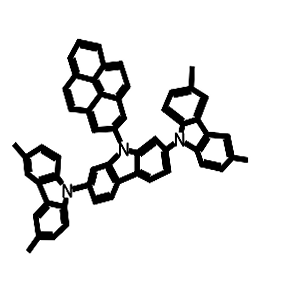 Cc1ccc2c(c1)c1cc(C)ccc1n2-c1ccc2c3ccc(-n4c5ccc(C)cc5c5cc(C)ccc54)cc3n(-c3cc4ccc5cccc6ccc(c3)c4c56)c2c1